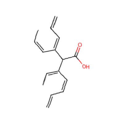 C=C/C=C\C(=C/C)C(C(=O)O)C(/C=C\C)=C/C=C